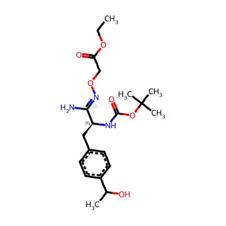 CCOC(=O)CO/N=C(\N)[C@H](Cc1ccc(C(C)O)cc1)NC(=O)OC(C)(C)C